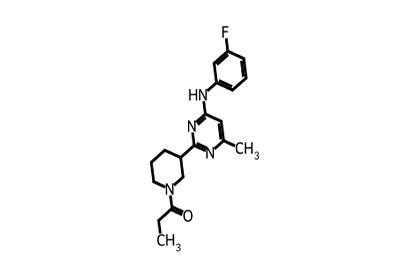 CCC(=O)N1CCCC(c2nc(C)cc(Nc3cccc(F)c3)n2)C1